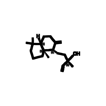 C=C[C@@](C)(O)CC[C@H]1C(=C)CC[C@H]2C(C)(C)CCC[C@]12C